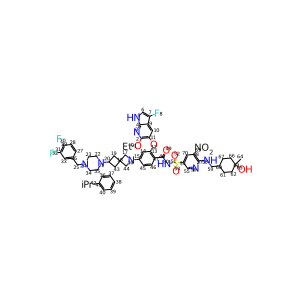 CCOc1nc2[nH]cc(F)c2cc1Oc1cc(N2CC3(CC(N4CCN(Cc5ccc(F)c(F)c5)C[C@H]4c4ccccc4C(C)C)C3)C2)ccc1C(=O)NS(=O)(=O)c1cnc(NCC2CCC(C)(O)CC2)c([N+](=O)[O-])c1